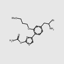 COCCCOc1cc(CC(N)C(C)C)ccc1-c1csc(OC(N)=O)n1